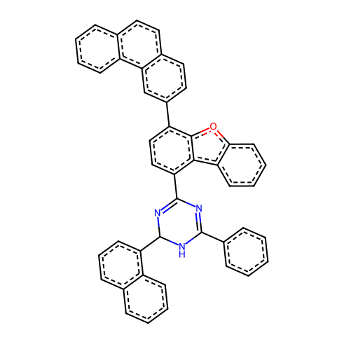 c1ccc(C2=NC(c3ccc(-c4ccc5ccc6ccccc6c5c4)c4oc5ccccc5c34)=NC(c3cccc4ccccc34)N2)cc1